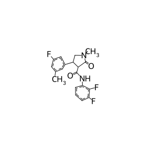 Cc1cc(F)cc(C2CN(C)C(=O)C2C(=O)Nc2cccc(F)c2F)c1